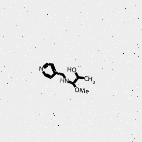 COC(NCc1ccncc1)C(C)O